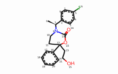 C[C@@H](c1ccc(F)cc1)N1CCC(CCO)(c2ccccc2)OC1=O